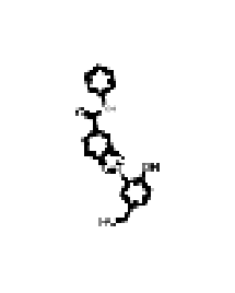 O=C(Nc1ccccc1)c1ccc2nn(-c3cc(CO)ccc3O)nc2c1